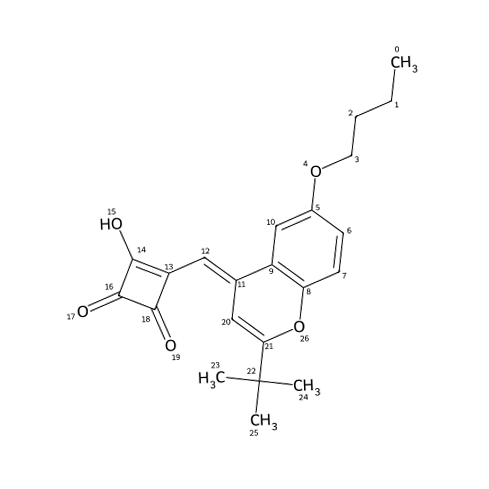 CCCCOc1ccc2c(c1)C(=Cc1c(O)c(=O)c1=O)C=C(C(C)(C)C)O2